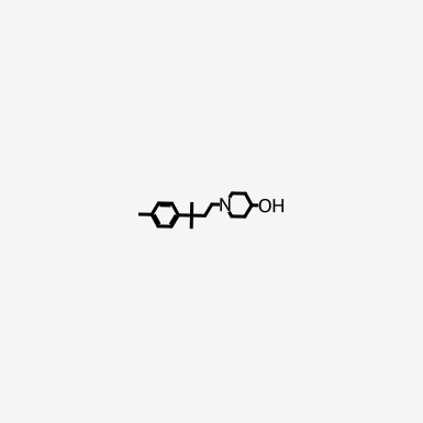 Cc1ccc(C(C)(C)CCN2CCC(O)CC2)cc1